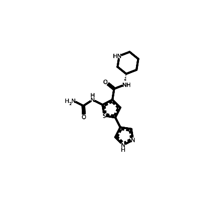 NC(=O)Nc1sc(-c2cn[nH]c2)cc1C(=O)N[C@H]1CCCNC1